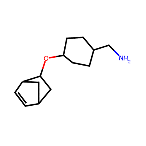 NCC1CCC(OC2CC3C=CC2C3)CC1